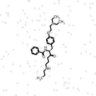 CCCNCCCC(=O)[C@H](Cc1ccc(OCCN(CC)CC)cc1)NC(=O)c1ccccc1